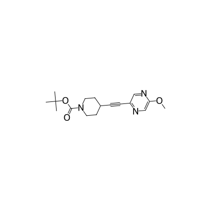 COc1cnc(C#CC2CCN(C(=O)OC(C)(C)C)CC2)cn1